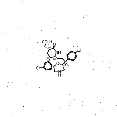 C[C@@](CC[C@@H]1NC(=O)[C@@H](CC(=O)O)C[C@@H]1c1cccc(Cl)c1)(c1ccc(Cl)cc1)[C@H]1CNCCO1